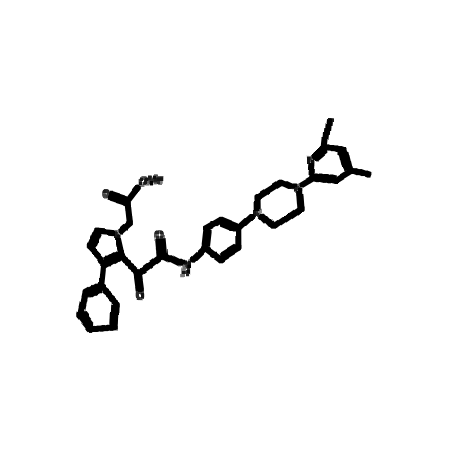 COC(=O)Cn1ccc(-c2ccccc2)c1C(=O)C(=O)Nc1ccc(N2CCN(c3cc(C)cc(C)n3)CC2)cc1